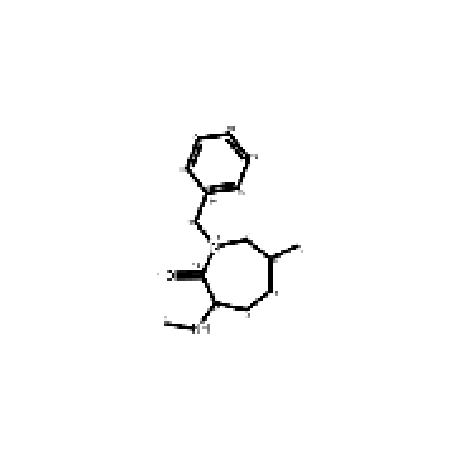 CNC1CCC(C)CN(Cc2ccccc2)C1=O